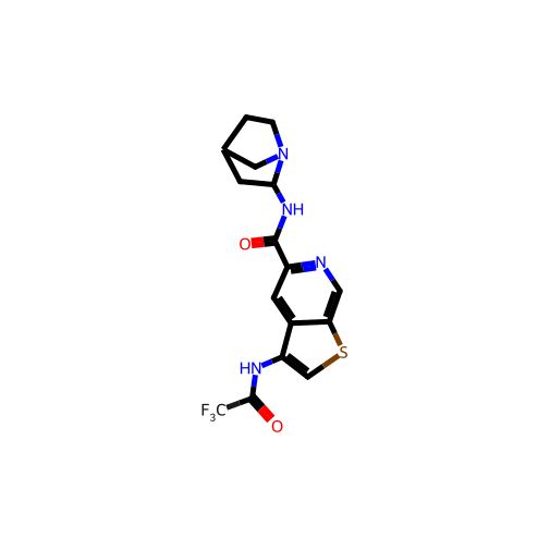 O=C(NC1CC2CCN1C2)c1cc2c(NC(=O)C(F)(F)F)csc2cn1